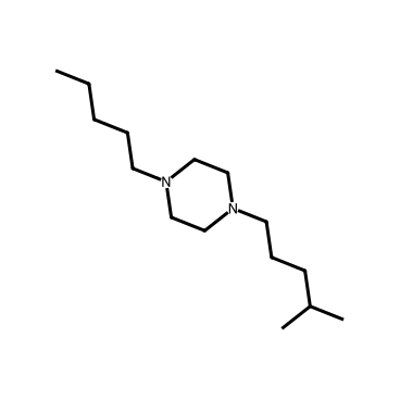 CCCCCN1CCN(CCCC(C)C)CC1